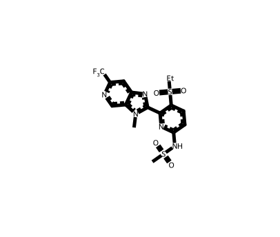 CCS(=O)(=O)c1ccc(NS(C)(=O)=O)nc1-c1nc2cc(C(F)(F)F)ncc2n1C